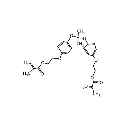 C=C(C)C(=O)OCCOc1ccc(OC(C)(C)Oc2ccc(OCCOC(=O)C(=C)C)cc2)cc1